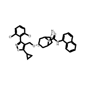 C[C@@H]1CC2C[C@H](OCc3c(-c4c(Cl)cccc4Cl)noc3C3CC3)CC1N2C(=O)Nc1cccc2ccccc12